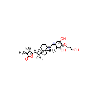 C=C1/C(=C\C=C2/CCC[C@]3(C)[C@@H]([C@H](C)C[C@H]4OC(=O)C(=C)[C@H]4CCCC)CC[C@@H]23)C[C@@H](O)[C@H](OCCCO)[C@@H]1O